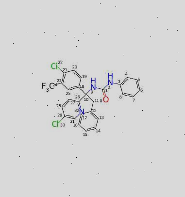 O=C(Nc1ccccc1)NC(Cc1ccccc1)(c1ccc(Cl)c(C(F)(F)F)c1)c1ccc(Cl)cn1